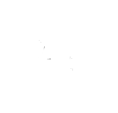 Cc1ncc(CC[C@@]2(c3ccccc3)C[C@H]2CN=O)c(C)n1